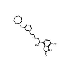 O=c1[nH]c2c(O)ccc(C(O)CNCCc3cccc(CN4CCCCCC4)c3)c2s1